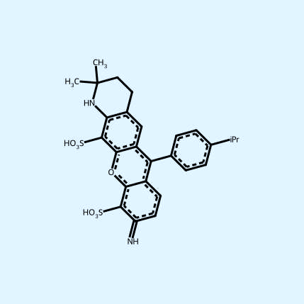 CC(C)c1ccc(-c2c3ccc(=N)c(S(=O)(=O)O)c-3oc3c(S(=O)(=O)O)c4c(cc23)CCC(C)(C)N4)cc1